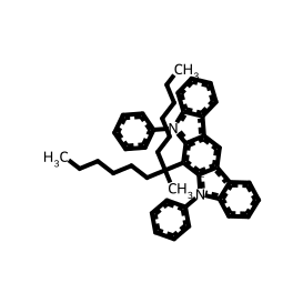 CCCCCCC(C)(CCCCCC)c1c2c(cc3c4ccccc4n(-c4ccccc4)c13)c1ccccc1n2-c1ccccc1